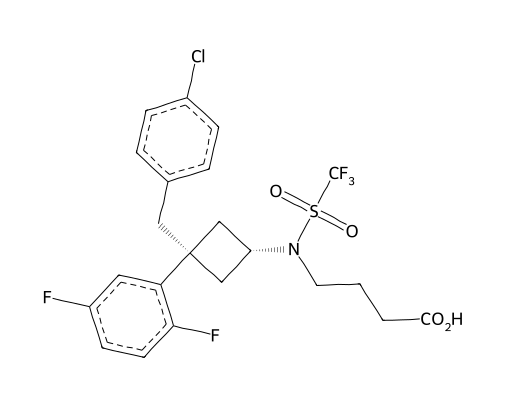 O=C(O)CCCN([C@H]1C[C@](Cc2ccc(Cl)cc2)(c2cc(F)ccc2F)C1)S(=O)(=O)C(F)(F)F